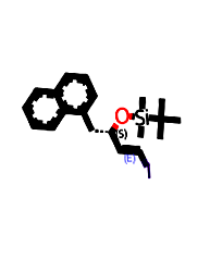 CC(C)(C)[Si](C)(C)O[C@H](/C=C/I)Cc1cccc2ccccc12